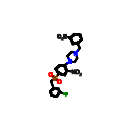 O=[N+]([O-])c1cccc(CN2CCN(c3ccc(S(=O)(=O)Cc4cccc(F)c4)cc3[N+](=O)[O-])CC2)c1